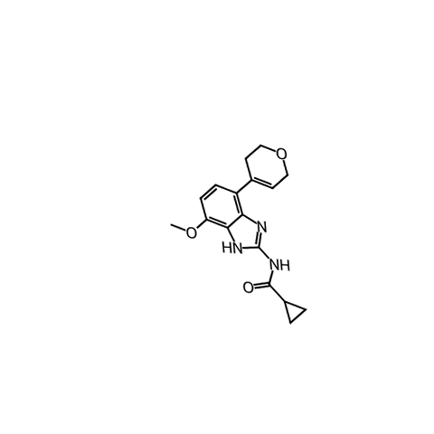 COc1ccc(C2=CCOCC2)c2nc(NC(=O)C3CC3)[nH]c12